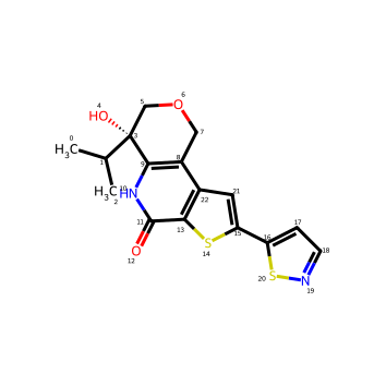 CC(C)[C@@]1(O)COCc2c1[nH]c(=O)c1sc(-c3ccns3)cc21